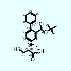 CC(C)(C)OC(=O)c1ccccc1-c1ccccc1.N[C@@H](CS)C(=O)O